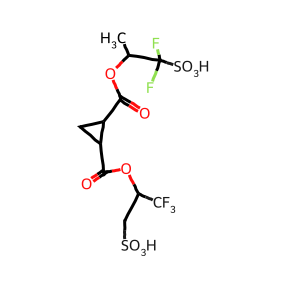 CC(OC(=O)C1CC1C(=O)OC(CS(=O)(=O)O)C(F)(F)F)C(F)(F)S(=O)(=O)O